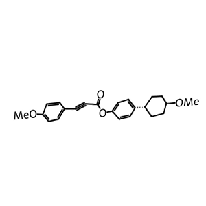 COc1ccc(C#CC(=O)Oc2ccc([C@H]3CC[C@H](OC)CC3)cc2)cc1